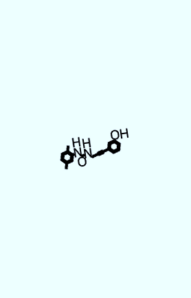 Cc1ccc(C)c(NC(=O)NCC#Cc2cccc(O)c2)c1